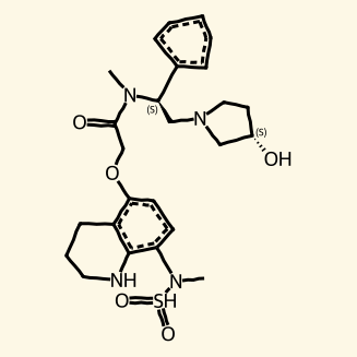 CN(C(=O)COc1ccc(N(C)[SH](=O)=O)c2c1CCCN2)[C@H](CN1CC[C@H](O)C1)c1ccccc1